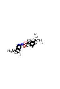 C=C(C)c1ccc(NC(=O)OC(C)(C)c2cccc(C(=C)C)c2)cc1